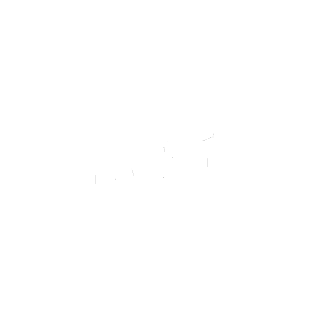 C[C@]12CC(=O)[C@@]3(F)[C@@H](CC[C@@H]4CC(=O)CC[C@@]43C)[C@@H]1CC[C@@H]2C(=O)CO